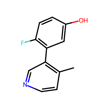 Cc1ccncc1-c1cc(O)ccc1F